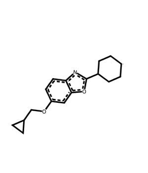 [CH]1CCC(c2nc3ccc(OCC4CC4)cc3o2)CC1